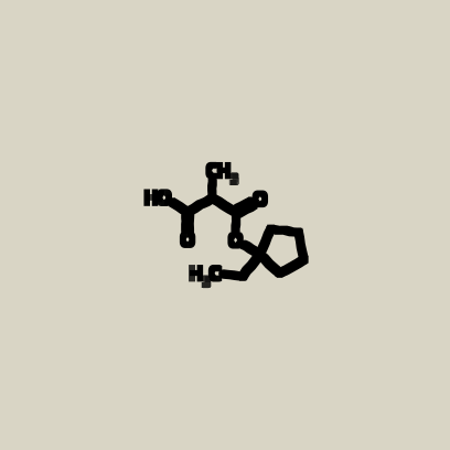 CCC1(OC(=O)C(C)C(=O)O)CCCC1